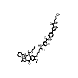 C=CCOC(=O)N1c2cc(OCCCC(=O)Nc3cc(C(=O)Nc4ccc(-c5cc(C(=O)NCCCO)n(C)c5)cc4)n(C)c3)c(OC)cc2C(=O)N2CC(=C)C[C@H]2C1OC1CCCCO1